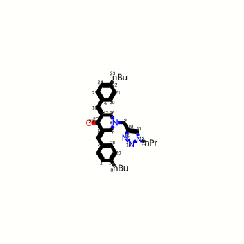 CCCCc1ccc(C=C2CN(Cc3cn(CCC)nn3)CC(=Cc3ccc(CCCC)cc3)C2=O)cc1